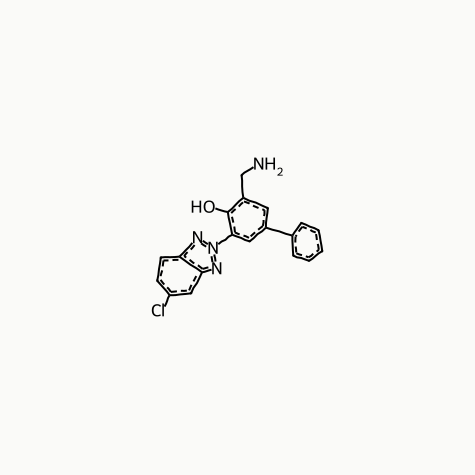 NCc1cc(-c2ccccc2)cc(-n2nc3ccc(Cl)cc3n2)c1O